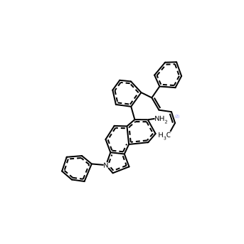 C/C=C\C=C(c1ccccc1)c1ccccc1-c1c(N)ccc2c1ccc1c2ccn1-c1ccccc1